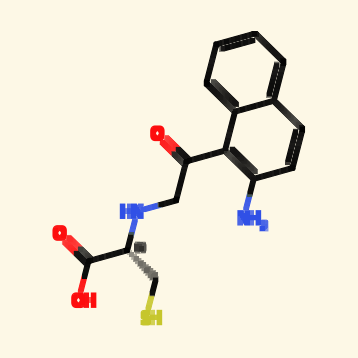 Nc1ccc2ccccc2c1C(=O)CN[C@H](CS)C(=O)O